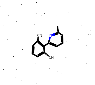 Cc1cccc(-c2c(C#N)cccc2C#N)n1